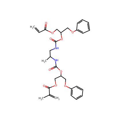 C=CC(=O)OCC(COc1ccccc1)OC(=O)NCC(C)NC(=O)OC(COC(=O)C(=C)C)COc1ccccc1